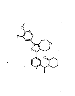 COc1ncc(-n2nc(-c3ccnc(C(C)N4CCCCC4=O)c3)c3c2CCOCC3)cc1F